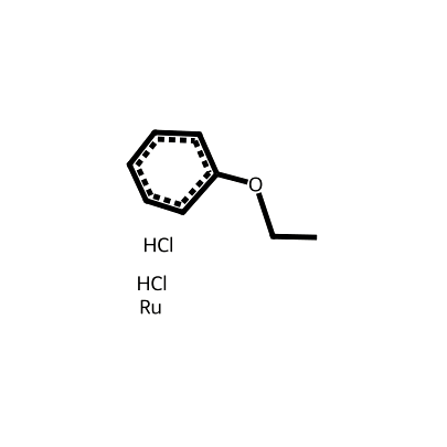 CCOc1ccccc1.Cl.Cl.[Ru]